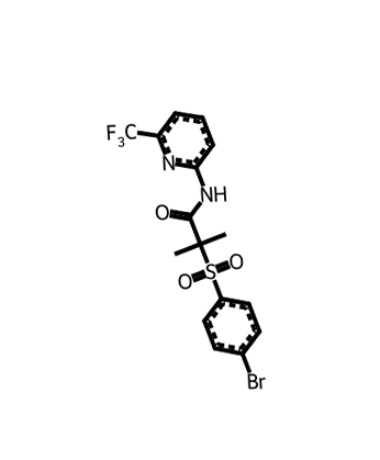 CC(C)(C(=O)Nc1cccc(C(F)(F)F)n1)S(=O)(=O)c1ccc(Br)cc1